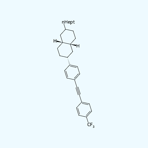 CCCCCCCC1CC[C@@H]2C[C@H](c3ccc(C#Cc4ccc(C(F)(F)F)cc4)cc3)CC[C@@H]2C1